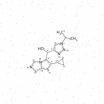 CC(C)n1cc(C(O)c2c(C3CC3)sc3cncn23)nn1